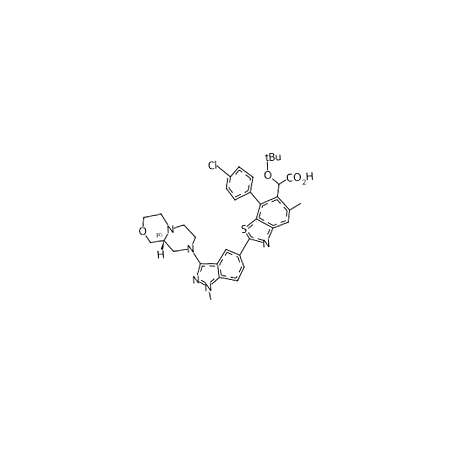 Cc1cc2nc(-c3ccc4c(c3)c(N3CCN5CCOC[C@H]5C3)nn4C)sc2c(-c2ccc(Cl)cc2)c1C(OC(C)(C)C)C(=O)O